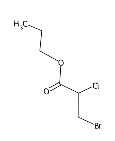 CCCOC(=O)C(Cl)CBr